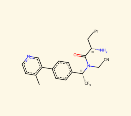 Cc1ccncc1-c1ccc([C@H](N(CC#N)C(=O)[C@@H](N)CC(C)C)C(F)(F)F)cc1